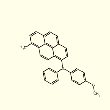 COc1ccc(N(c2ccccc2)c2ccc3ccc4ccc(C)c5ccc2c3c45)cc1